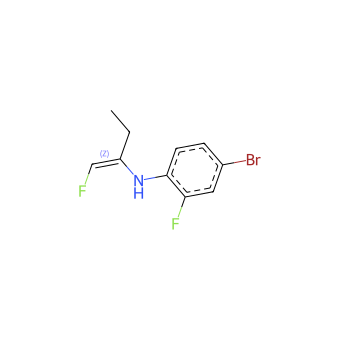 CC/C(=C/F)Nc1ccc(Br)cc1F